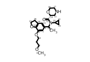 COCCCOc1cc(C(C)N(C(=O)[C@H]2CNCCO2)C2CC2)cc2c1OCC2